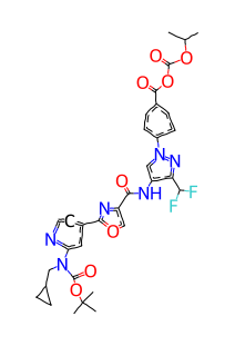 CC(C)OC(=O)OC(=O)c1ccc(-n2cc(NC(=O)c3coc(-c4ccnc(N(CC5CC5)C(=O)OC(C)(C)C)c4)n3)c(C(F)F)n2)cc1